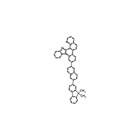 CC1(C)c2ccccc2-c2ccc(-c3ccc4cc(-c5ccc6c7ccc8cccnc8c7c7nc8ccccc8n7c6c5)ccc4c3)cc21